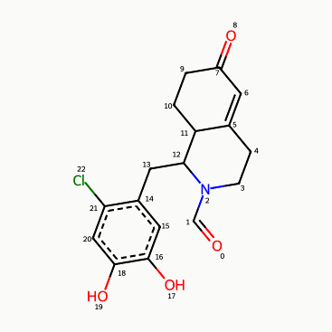 O=CN1CCC2=CC(=O)CCC2C1Cc1cc(O)c(O)cc1Cl